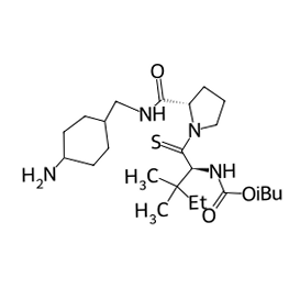 CCC(C)(C)[C@H](NC(=O)OCC(C)C)C(=S)N1CCC[C@H]1C(=O)NCC1CCC(N)CC1